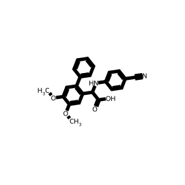 COc1cc(-c2ccccc2)c(C(Nc2ccc(C#N)cc2)C(=O)O)cc1OC